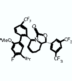 COc1cc(F)c(C(C)C)cc1-c1ccc(C(F)(F)F)cc1[C@@H]1CCCC2[C@@H](c3cc(C(F)(F)F)cc(C(F)(F)F)c3)OC(=O)N21